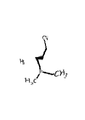 CP(C)CCC#N.I